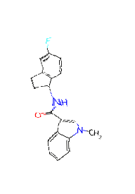 Cn1cc(C(=O)NC2CCc3cc(F)ccc32)c2ccccc21